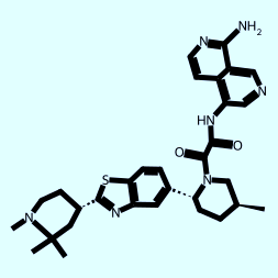 C[C@H]1CC[C@H](c2ccc3sc([C@H]4CCN(C)C(C)(C)C4)nc3c2)N(C(=O)C(=O)Nc2cncc3c(N)nccc23)C1